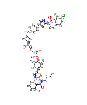 CCCCN(C(=O)c1ccccc1C)c1nnc(-c2cc(C)c(OCC(O)COC(=O)C3CN(Cc4ccc(-c5nnc(N(CC)C(=O)c6cccc(Cl)c6F)s5)cc4)C3)c(C)c2)s1